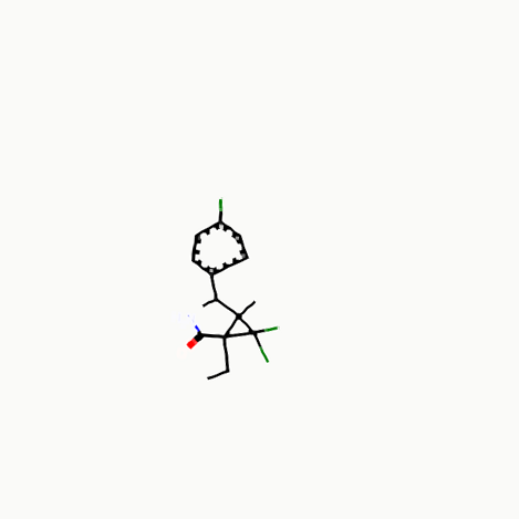 CCC1(C(N)=O)C(Cl)(Cl)C1(C)C(C)c1ccc(Cl)cc1